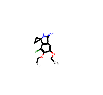 CCOc1cc2c(c(F)c1OCC)C1(CC1)NC2=N